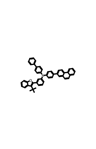 CC(C)(C)c1c(-c2cccc(N(c3ccc(-c4ccccc4)cc3)c3ccc(-c4ccc5c(ccc6ccccc65)c4)cc3)c2)oc2ccccc12